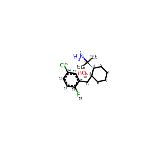 CCC(N)(CC)[C@@H]1CCCC[C@@]1(O)Cc1cc(Cl)ccc1F